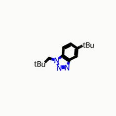 CC(C)(C)Cn1nnc2cc(C(C)(C)C)ccc21